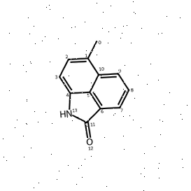 Cc1ccc2c3c(cccc13)C(=O)N2